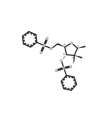 C[C@@H]1O[C@H](COS(=O)(=O)c2ccccc2)[C@@H](OS(=O)(=O)c2ccccc2)[C@@]1(C)F